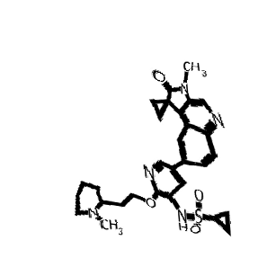 CN1C(=O)C2(CC2)c2c1cnc1ccc(-c3cnc(OCCC4CCCCN4C)c(NS(=O)(=O)C4CC4)c3)cc21